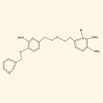 COc1cc(CCOCCc2ccc(OC)c(OC)c2Br)ccc1OCc1ccccc1